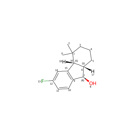 CC1(C)CCC[C@@H]2[C@@H](O)c3ccc(F)cc3[C@@H]21